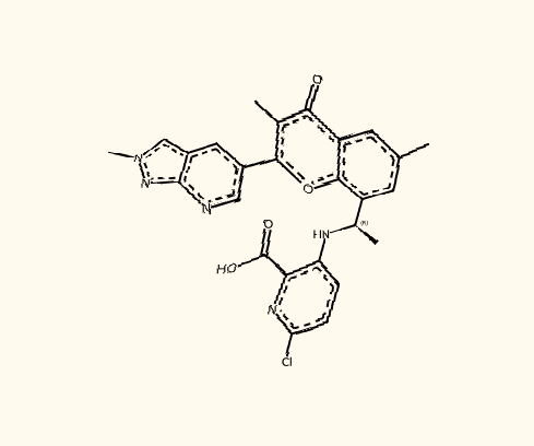 Cc1cc([C@@H](C)Nc2ccc(Cl)nc2C(=O)O)c2oc(-c3cnc4nn(C)cc4c3)c(C)c(=O)c2c1